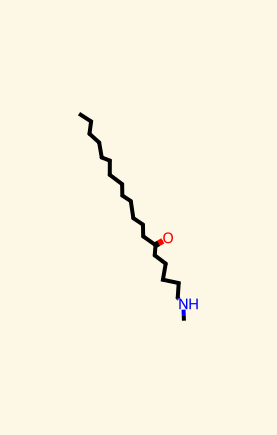 CCCCCCCCCCCCCC(=O)CCCCCNC